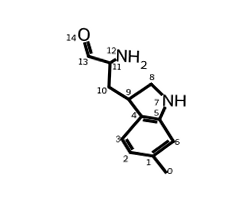 Cc1ccc2c(c1)NCC2CC(N)C=O